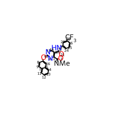 CNC(=O)c1nc(Oc2ccc3ccccc3c2)ncc1C(=O)Nc1cccc(C(F)(F)F)c1